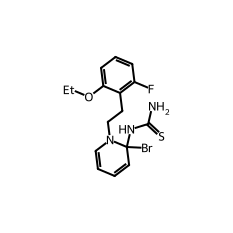 CCOc1cccc(F)c1CCN1C=CC=CC1(Br)NC(N)=S